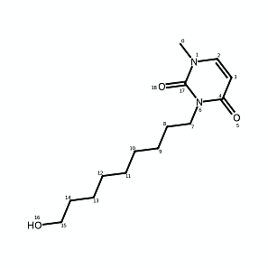 Cn1ccc(=O)n(CCCCCCCCCO)c1=O